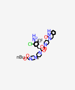 CCCCOC(=O)CN1CCN(C2(C)CCN(C(=O)[C@@H](Cc3cc(Cl)c(N)c(C(F)(F)F)c3)OC(=O)N3CCC(N4CCc5ccccc5NC4=O)CC3)CC2)CC1